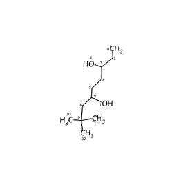 CCC(O)CCC(O)CC(C)(C)C